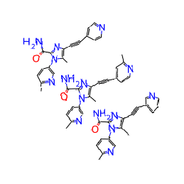 Cc1ccc(-n2c(C(N)=O)nc(C#Cc3cccnc3)c2C)cn1.Cc1ccc(-n2c(C(N)=O)nc(C#Cc3ccnc(C)c3)c2C)cn1.Cc1ccc(-n2c(C(N)=O)nc(C#Cc3ccncc3)c2C)cn1